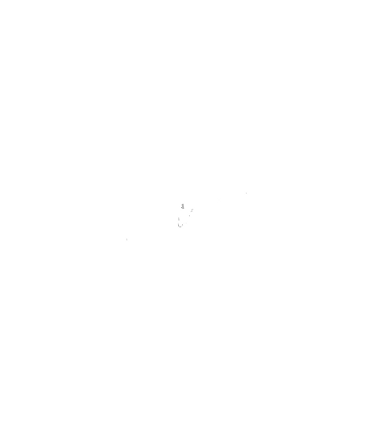 CCCCCCCCCC(=O)C(N)C(=O)CCCCCCCCC.Cl